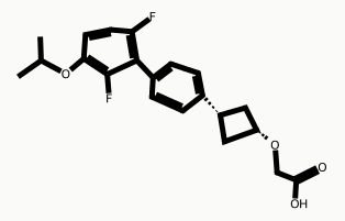 CC(C)Oc1ccc(F)c(-c2ccc([C@H]3C[C@@H](OCC(=O)O)C3)cc2)c1F